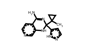 CC1(C2(c3ccn[nH]3)N=C(N)c3ccncc3N2)CC1